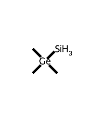 [CH3][Ge]([CH3])([CH3])[SiH3]